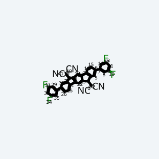 N#CC(C#N)C1c2cc(-c3cc(F)cc(F)c3)ccc2-c2cc3c(cc21)-c1ccc(-c2cc(F)cc(F)c2)cc1C3C(C#N)C#N